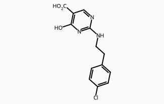 O=C(O)c1cnc(NCCc2ccc(Cl)cc2)nc1O